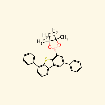 CC1(C)OB(c2cc(-c3ccccc3)cc3c2sc2c(-c4ccccc4)cccc23)OC1(C)C